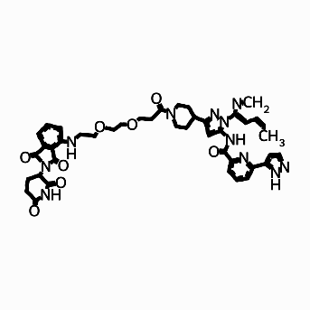 C=N/C(=C\C=C/C)n1nc(C2CCN(C(=O)CCOCCOCCNc3cccc4c3C(=O)N(C3CCC(=O)NC3=O)C4=O)CC2)cc1NC(=O)c1cccc(-c2ccn[nH]2)n1